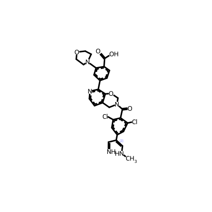 CN/C=C(\C=N)c1cc(Cl)c(C(=O)N2COc3c(ccnc3-c3ccc(C(=O)O)c(N4CCOCC4)c3)C2)c(Cl)c1